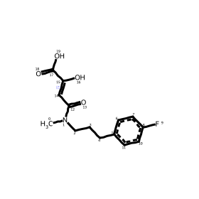 CN(CCCc1ccc(F)cc1)C(=O)/C=C(\O)C(=O)O